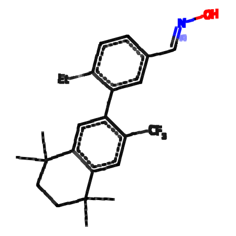 CCc1ccc(/C=N/O)cc1-c1cc2c(cc1C(F)(F)F)C(C)(C)CCC2(C)C